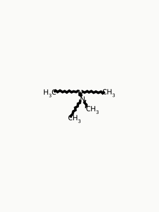 CCCCCCCCCCCCN(CCCCCCCCCCC)CCN(CCCCC)CCCCCCCCCC